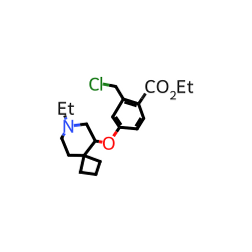 CCOC(=O)c1ccc(OC2CN(CC)CCC23CCC3)cc1CCl